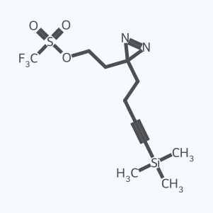 C[Si](C)(C)C#CCCC1(CCOS(=O)(=O)C(F)(F)F)N=N1